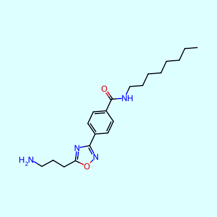 CCCCCCCCNC(=O)c1ccc(-c2noc(CCCN)n2)cc1